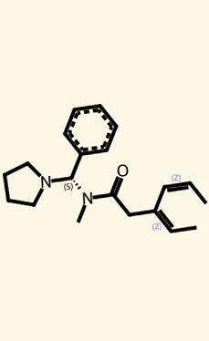 C/C=C\C(=C/C)CC(=O)N(C)[C@@H](c1ccccc1)N1CCCC1